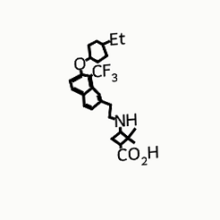 CCC1CCC(Oc2ccc3ccc(CCNC4CC(C(=O)O)C4(C)C)cc3c2C(F)(F)F)CC1